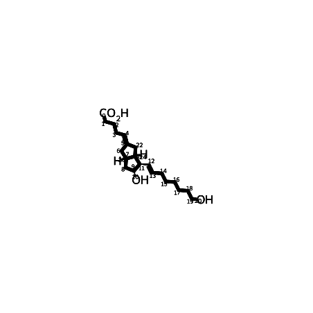 O=C(O)CCC/C=C1\C[C@H]2C[C@@H](O)[C@H](/C=C/CCCCCCO)[C@H]2C1